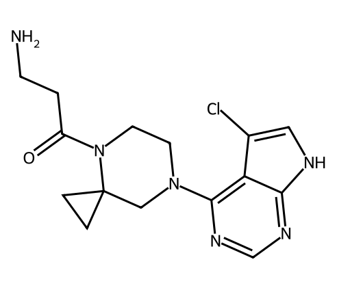 NCCC(=O)N1CCN(c2ncnc3[nH]cc(Cl)c23)CC12CC2